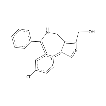 OCC1=C2CNC(c3ccccc3)=c3cc(Cl)ccc3=C2C=N1